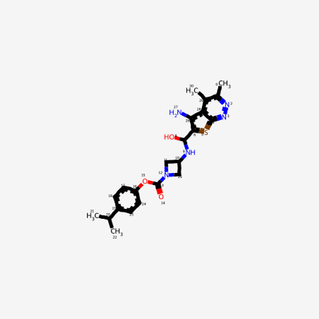 Cc1nnc2sc(C(O)NC3CN(C(=O)Oc4ccc(C(C)C)cc4)C3)c(N)c2c1C